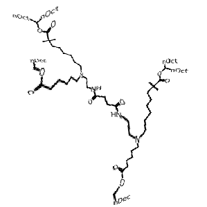 CCCCCCCCCCCOC(=O)CCCCCN(CCCCCCC(C)(C)C(=O)OC(CCCCCCCC)CCCCCCCC)CCNC(=O)CCC(=O)NCCN(CCCCCCC(C)(C)C(=O)OC(CCCCCCCC)CCCCCCCC)CCCCCC(=O)OCCCCCCCCCCC